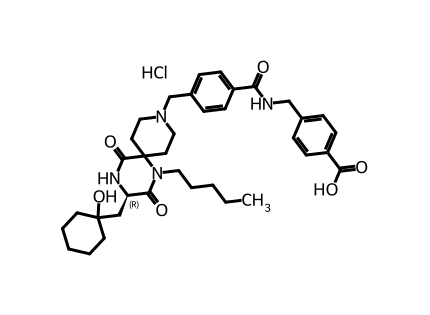 CCCCCN1C(=O)[C@@H](CC2(O)CCCCC2)NC(=O)C12CCN(Cc1ccc(C(=O)NCc3ccc(C(=O)O)cc3)cc1)CC2.Cl